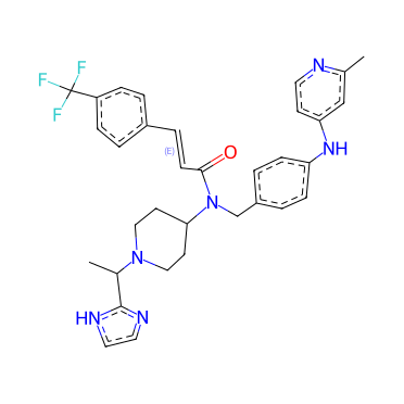 Cc1cc(Nc2ccc(CN(C(=O)/C=C/c3ccc(C(F)(F)F)cc3)C3CCN(C(C)c4ncc[nH]4)CC3)cc2)ccn1